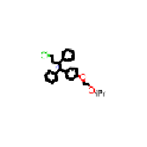 CC(C)OCCOc1ccc(/C(=C(/CCCl)c2ccccc2)c2ccccc2)cc1